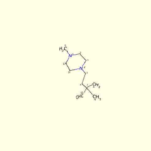 CN1CCN(CCC(C)(C)C=O)CC1